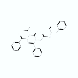 CC(C)[C@H]1C(=O)N(CC(=O)N[C@H](C=O)Cc2ccccc2)C(c2ccccc2)=CN1C(=O)c1ccccc1